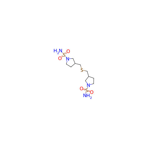 NS(=O)(=O)N1CCC(CSCC2CCN(S(N)(=O)=O)C2)C1